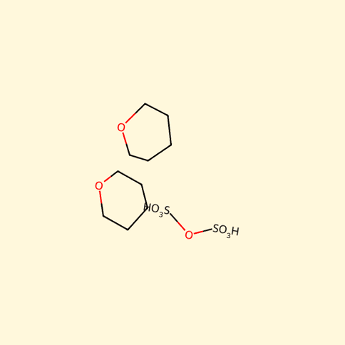 C1CCOCC1.C1CCOCC1.O=S(=O)(O)OS(=O)(=O)O